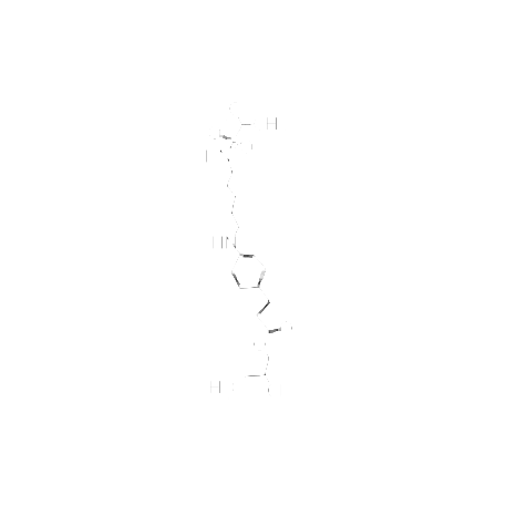 CCC(C)COC(=O)/C=C/c1ccc(NCCCCCNS(=O)(=O)C(C)C)cc1